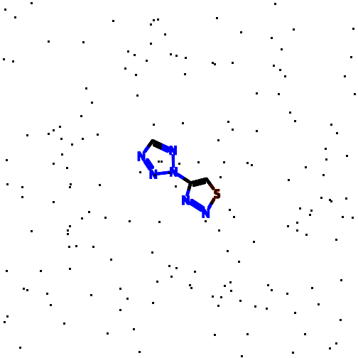 c1nnn(-c2csnn2)n1